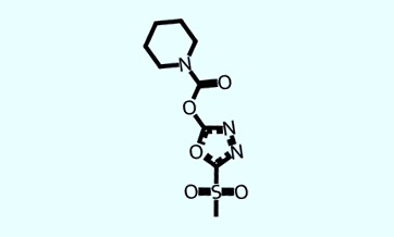 CS(=O)(=O)c1nnc(OC(=O)N2CCCCC2)o1